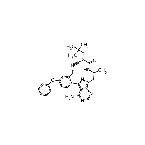 CC(Cn1nc(-c2ccc(Oc3ccccc3)cc2F)c2c(N)ncnc21)NC(=O)C(C#N)=CC(C)(C)C